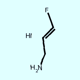 I.NCC=CF